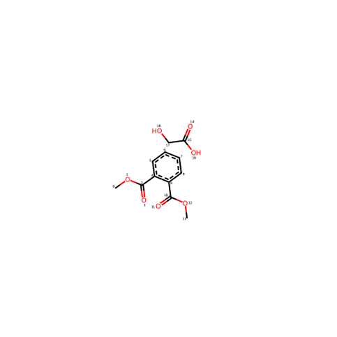 COC(=O)c1ccccc1C(=O)OC.O=C(O)CO